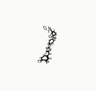 O=[N+]([O-])c1cccc(S(=O)(=O)C2CCN(c3nc(Cc4ccc(Cl)c(F)c4)cs3)CC2)c1